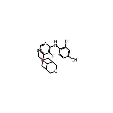 N#Cc1ccc(Nc2ncnc(OC3C4COCC3CN(CC(F)(F)F)C4)c2F)c(Cl)c1